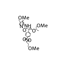 COCCCS(=O)(=O)c1ccc(C2(C(=O)Nc3ncc(COC)s3)C=C2O[C@H](C)COC)cc1